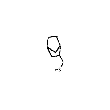 SCC1CC2CCC1C2